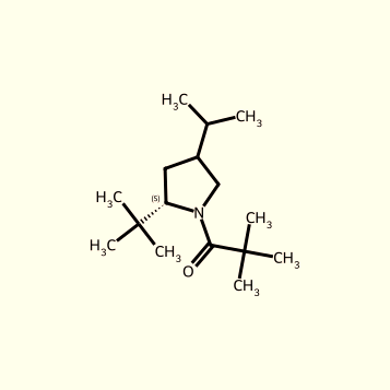 CC(C)C1C[C@@H](C(C)(C)C)N(C(=O)C(C)(C)C)C1